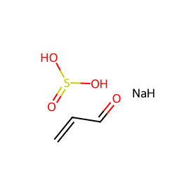 C=CC=O.O=S(O)O.[NaH]